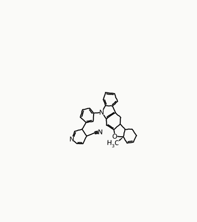 C[C@]12C=CCCC1C1Cc3c(n(-c4cccc(C5C=NC=CC5C#N)c4)c4ccccc34)C=C1O2